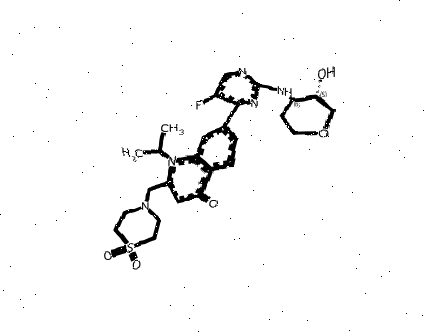 CC(C)n1c(CN2CCS(=O)(=O)CC2)cc(=O)c2ccc(-c3nc(N[C@@H]4CCOC[C@H]4O)ncc3F)cc21